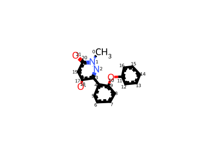 Cn1nc(-c2ccccc2Oc2ccccc2)c([O])cc1=O